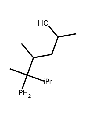 CC(O)CC(C)C(C)(P)C(C)C